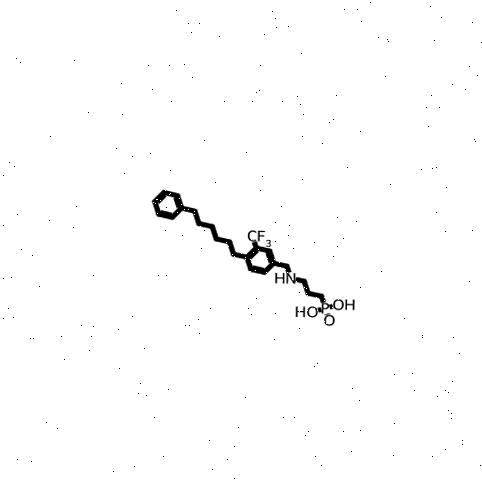 O=P(O)(O)CCCNCc1ccc(CCCCCCc2ccccc2)c(C(F)(F)F)c1